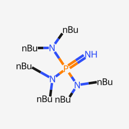 CCCCN(CCCC)P(=N)(N(CCCC)CCCC)N(CCCC)CCCC